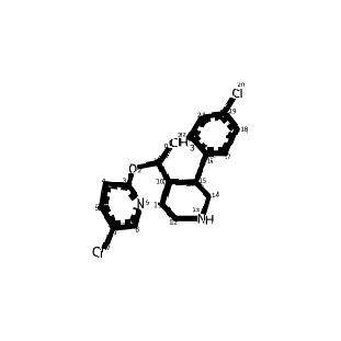 CC(Oc1ccc(Cl)cn1)C1CCNCC1c1ccc(Cl)cc1